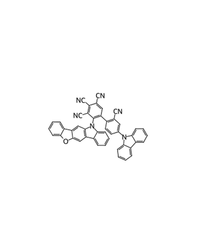 N#Cc1cc(-n2c3ccccc3c3ccccc32)ccc1-c1cc(C#N)c(C#N)c(C#N)c1-n1c2ccccc2c2cc3oc4ccccc4c3cc21